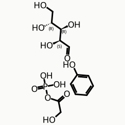 O=C(CO)OP(=O)(O)O.O=C[C@@H](O)[C@H](O)[C@H](O)CO.Oc1ccccc1